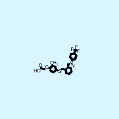 Cc1cc(SCc2cccc3nn(-c4ccc(C(F)(F)F)cc4)cc23)ccc1OCC(=O)O